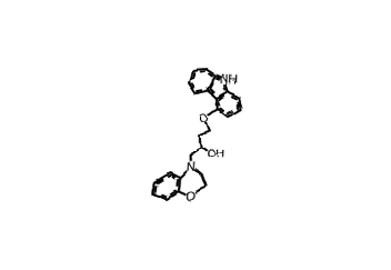 OC(CCOc1cccc2[nH]c3ccccc3c12)CN1CCOc2ccccc21